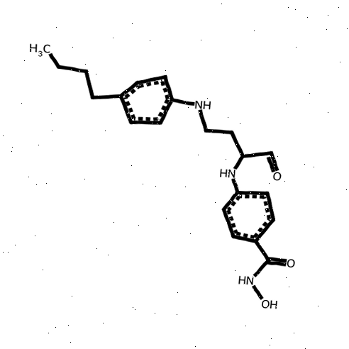 CCCCc1ccc(NCCC(C=O)Nc2ccc(C(=O)NO)cc2)cc1